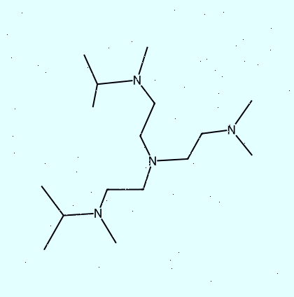 CC(C)N(C)CCN(CCN(C)C)CCN(C)C(C)C